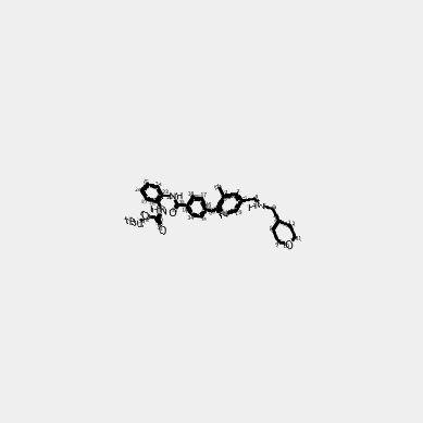 Cc1cc(CNCC2CCOCC2)cnc1-c1ccc(C(=O)Nc2ccccc2NC(=O)OC(C)(C)C)cc1